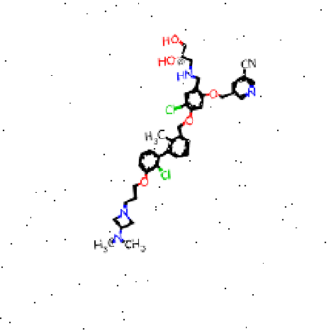 Cc1c(COc2cc(OCc3cncc(C#N)c3)c(CNC[C@H](O)CO)cc2Cl)cccc1-c1cccc(OCCCN2CC(N(C)C)C2)c1Cl